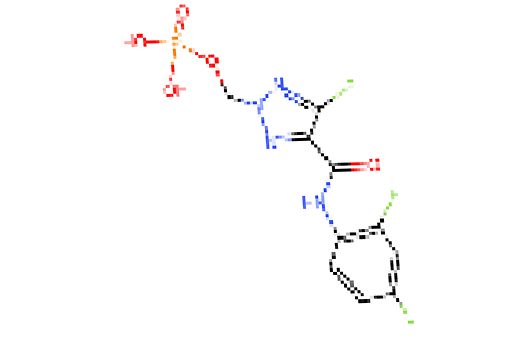 O=C(Nc1ccc(F)cc1F)c1nn(COP(=O)(O)O)nc1F